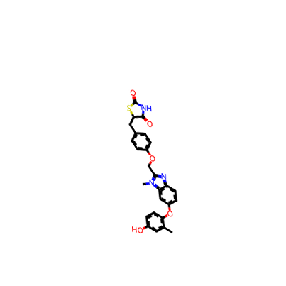 Cc1cc(O)ccc1Oc1ccc2nc(COc3ccc(CC4SC(=O)NC4=O)cc3)n(C)c2c1